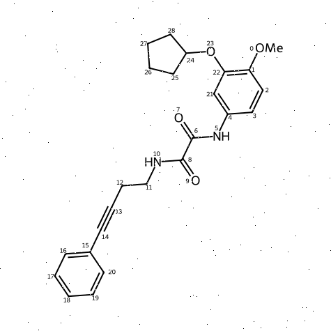 COc1ccc(NC(=O)C(=O)NCCC#Cc2ccccc2)cc1OC1CCCC1